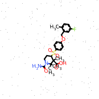 Cc1ccc(F)cc1COc1ccc(S(=O)(=O)C2CCN(C(N)=O)C(C)(C)C2(C)C(=O)O)cc1